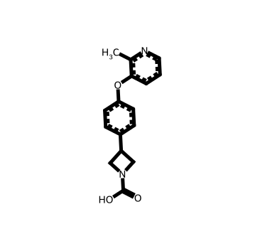 Cc1ncccc1Oc1ccc(C2CN(C(=O)O)C2)cc1